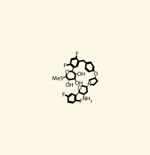 CS[C@H]1O[C@@H](c2cc(Cc3ccc(O[C@@H]4CCN([C@H]5CO[C@H](c6cc(F)ccc6F)[C@@H](N)C5)C4)cc3)c(F)cc2F)[C@H](O)[C@@H](O)[C@@H]1O